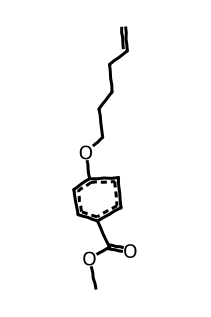 C=CCCCCOc1ccc(C(=O)OC)cc1